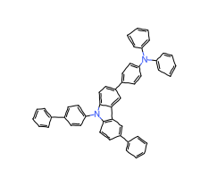 c1ccc(-c2ccc(-n3c4ccc(-c5ccccc5)cc4c4cc(-c5ccc(N(c6ccccc6)c6ccccc6)cc5)ccc43)cc2)cc1